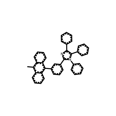 Cc1c2ccccc2c(-c2cccc(-c3nc(-c4ccccc4)c(-c4ccccc4)n3-c3ccccc3)c2)c2ccccc12